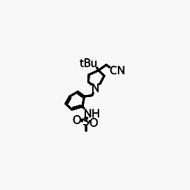 CC(C)(C)C1(CC#N)CCN(Cc2ccccc2NS(C)(=O)=O)CC1